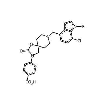 CC(C)n1ccc2c(CN3CCC4(CC3)CN(c3ccc(C(=O)O)cc3)C(=O)O4)ccc(Cl)c21